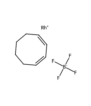 C1=C\CCCC\C=C/1.F[B-](F)(F)F.[Rh+]